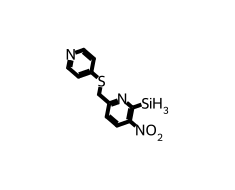 O=[N+]([O-])c1ccc(CSc2ccncc2)nc1[SiH3]